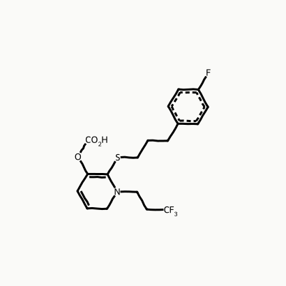 O=C(O)OC1=C(SCCCc2ccc(F)cc2)N(CCC(F)(F)F)CC=C1